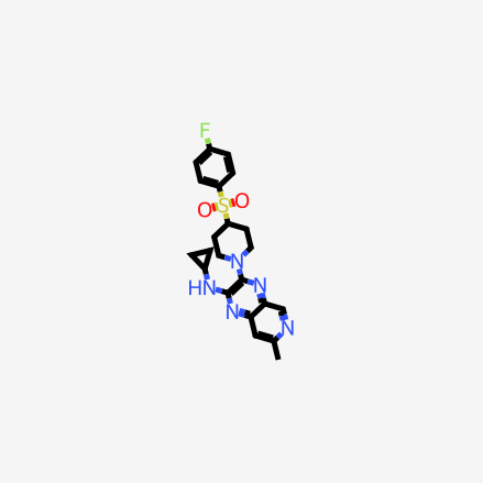 Cc1cc2nc(NC3CC3)c(N3CCC(S(=O)(=O)c4ccc(F)cc4)CC3)nc2cn1